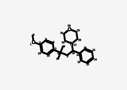 COc1ccc(C(C)(C)CC(c2ccccc2)N2CCOCC2)cc1